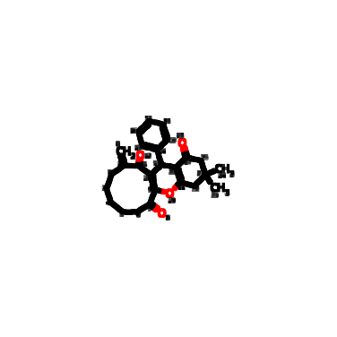 C=C1CCCCCC(=O)C2=C(C1=O)C(c1ccccc1)C1=C(CC(C)(C)CC1=O)O2